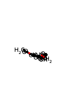 C=CC(=O)OCCCCCCOc1ccc(OC(=O)c2ccc(-c3c(N)c4c(c(N)c3C(=O)O)C(=O)c3ccccc3C4=O)cc2)cc1